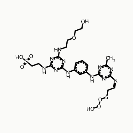 Cc1nc(/N=C\CSOOO)nc(Nc2cccc(Nc3nc(NCCOCCO)nc(NCCS(=O)(=O)O)n3)c2)n1